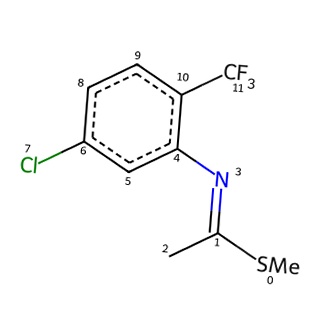 CSC(C)=Nc1cc(Cl)ccc1C(F)(F)F